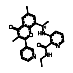 CCNC(=O)c1ncccc1N[C@H](C)c1cc(C)cc2c(=O)c(C)c(-c3cccnc3)oc12